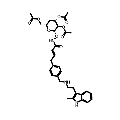 CC(=O)OC[C@@H]1C[C@H](OC(C)=O)[C@@H](OC(C)=O)[C@H](ONC(=O)/C=C/Cc2ccc(CNCCc3c(C)[nH]c4ccccc34)cc2)O1